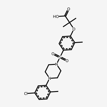 Cc1cc(S(=O)(=O)N2CCN(c3cc(Cl)ccc3C)CC2)ccc1OC(C)(C)C(=O)O